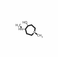 CN[C@H]1CCN(C)CC[C@H]1O